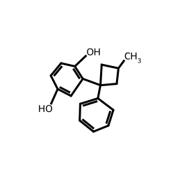 CC1CC(c2ccccc2)(c2cc(O)ccc2O)C1